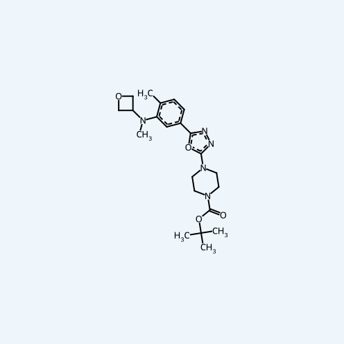 Cc1ccc(-c2nnc(N3CCN(C(=O)OC(C)(C)C)CC3)o2)cc1N(C)C1COC1